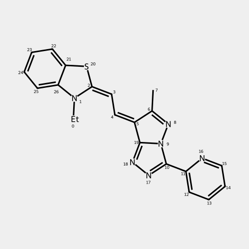 CCN1C(=CC=c2c(C)nn3c(-c4ccccn4)nnc23)Sc2ccccc21